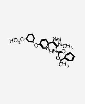 C[C@@H](OC(=O)Nc1c(-c2ccc(O[C@H]3CCC[C@H](C(=O)O)C3)cn2)nnn1C)c1ccccc1